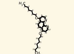 CCCCCCCOc1ccnc2c1ccc1c(OCCCCCCC)ccnc12